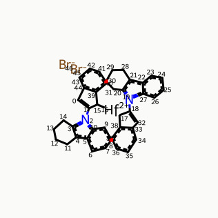 C1=C(n2c3c(c4ccccc42)CCCC3)[CH]([Hf+2][CH]2C(n3c4c(c5ccccc53)CCCC4)=Cc3ccccc32)c2ccccc21.[Br-].[Br-]